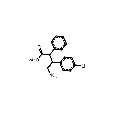 COC(=O)C(c1ccccc1)C(C[N+](=O)[O-])c1ccc(Cl)cc1